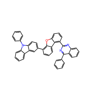 c1ccc(-c2nc(-c3cccc4oc5c(-c6ccc7c(c6)c6ccccc6n7-c6ccccc6)cccc5c34)nc3ccccc23)cc1